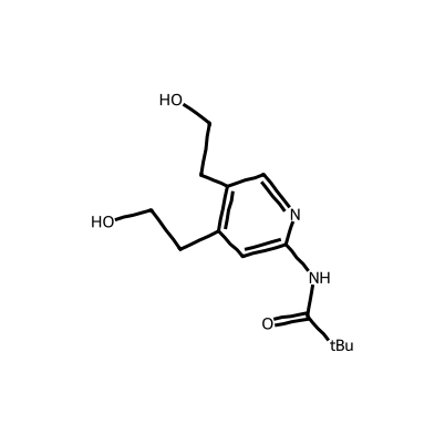 CC(C)(C)C(=O)Nc1cc(CCO)c(CCO)cn1